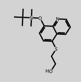 CC(C)(C)[Si](C)(C)Oc1ccc(SCCO)c2cccnc12